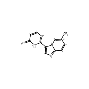 O=c1ccnc(-c2cnc3ccc(C(F)(F)F)cn23)[nH]1